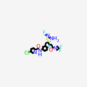 C[C@](/C=C/C(=O)N1CC(F)(F)C1)(Cc1cc(NC(=O)c2ccc(Cl)cn2)ccc1F)S/C(N)=N\CF